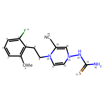 COc1cccc(F)c1CCN1C=CN(NC(N)=S)C=C1C#N